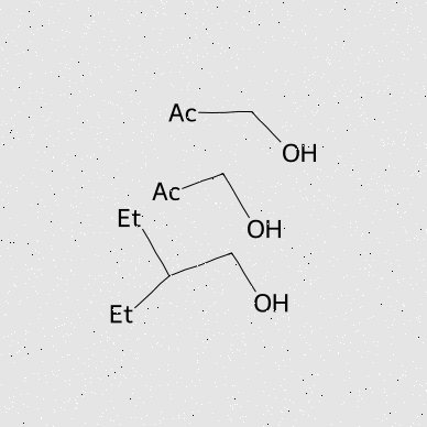 CC(=O)CO.CC(=O)CO.CCC(CC)CO